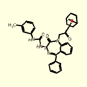 Cc1cccc(NC(=O)N[C@@H]2N=C(c3ccccc3)c3ccccc3N(CC(=O)N3CC4CCC(CC4)C3)C2=O)c1